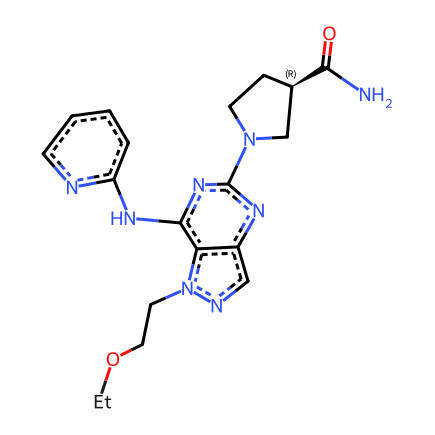 CCOCCn1ncc2nc(N3CC[C@@H](C(N)=O)C3)nc(Nc3ccccn3)c21